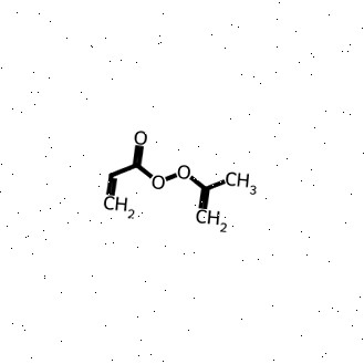 C=CC(=O)OOC(=C)C